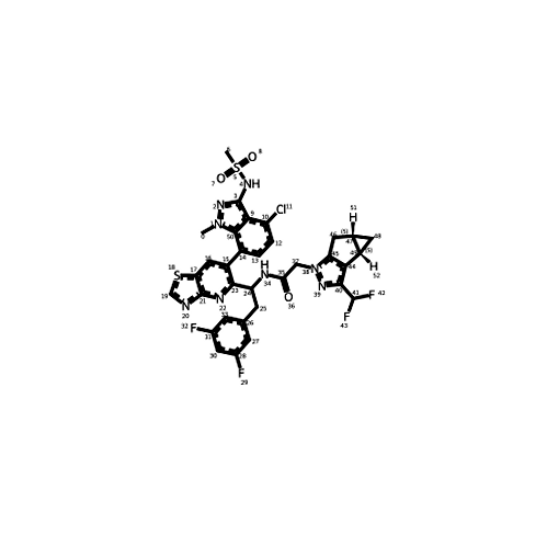 Cn1nc(NS(C)(=O)=O)c2c(Cl)ccc(-c3cc4scnc4nc3C(Cc3cc(F)cc(F)c3)NC(=O)Cn3nc(C(F)F)c4c3C[C@@H]3C[C@H]43)c21